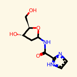 O=C(NC1C[C@H](O)[C@@H](CO)O1)c1ncc[nH]1